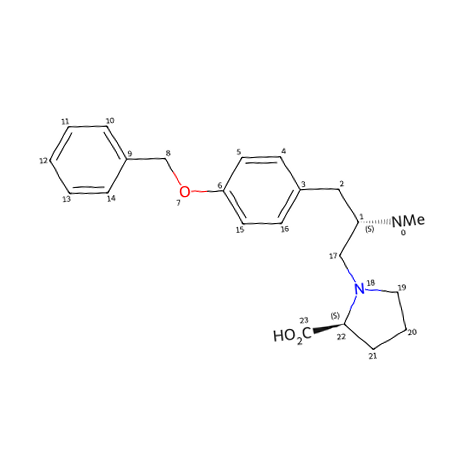 CN[C@@H](Cc1ccc(OCc2ccccc2)cc1)CN1CCC[C@H]1C(=O)O